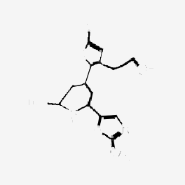 Cc1ncc(C2CC(c3sc(Cl)cc3CCO)CC(C)N2)o1